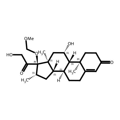 COCO[C@]1(C(=O)CO)[C@@H](C)C[C@H]2[C@@H]3CCC4=CC(=O)CC[C@]4(C)[C@H]3[C@@H](O)C[C@@]21C